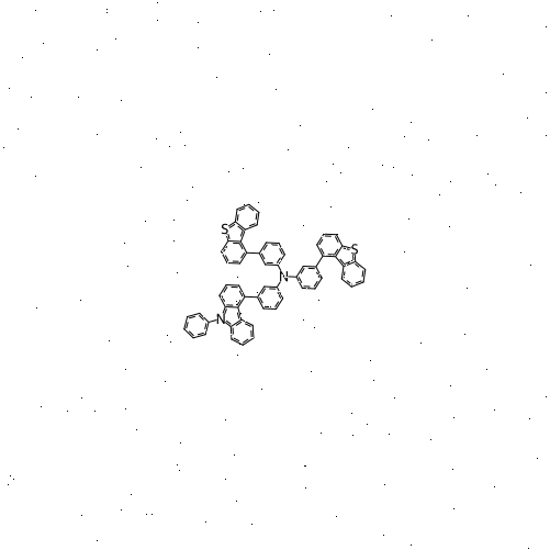 c1ccc(-n2c3ccccc3c3c(-c4cccc(N(c5cccc(-c6cccc7sc8ccccc8c67)c5)c5cccc(-c6cccc7sc8ccccc8c67)c5)c4)cccc32)cc1